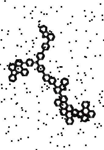 c1ccc(-c2ccc(-c3ccccc3N(c3ccc(-c4ccc(-c5ccc(-c6ccc7cc(-c8ccc(N(c9ccc(-c%10ccc(-c%11cccc%12c%11oc%11ccccc%11%12)cc%10)cc9)c9ccc(-c%10ccccc%10-c%10ccccc%10-n%10c%11ccccc%11c%11ccccc%11%10)cc9)cc8)ccc7c6)c6c5oc5ccccc56)cc4)cc3)c3ccc(-c4ccccc4-c4ccccc4-n4c5ccccc5c5ccccc54)cc3)cc2)cc1